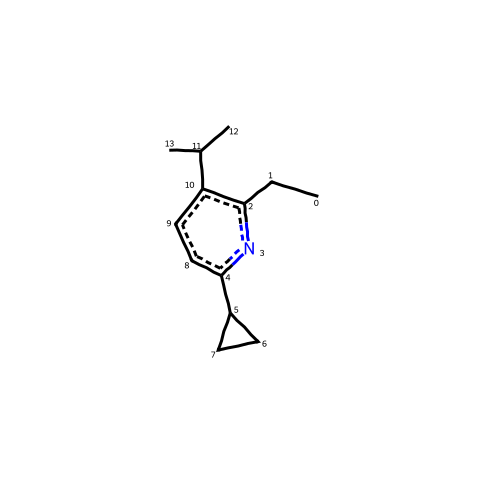 CCc1nc(C2CC2)ccc1C(C)C